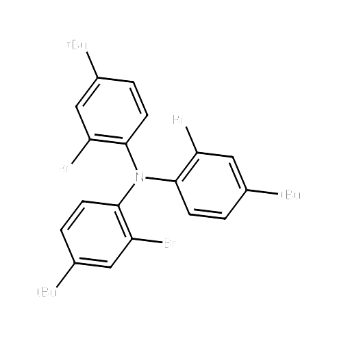 CC(C)(C)c1ccc(N(c2ccc(C(C)(C)C)cc2Br)c2ccc(C(C)(C)C)cc2Br)c(Br)c1